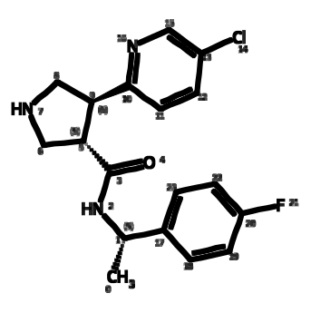 C[C@H](NC(=O)[C@@H]1CNC[C@H]1c1ccc(Cl)cn1)c1ccc(F)cc1